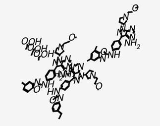 CC(=O)O.CC(=O)O.CC(=O)O.CCc1ccc2oc(Nc3ccc(-c4nn(C5CCN(CCOC)C5)c5ncnc(N)c45)cc3)nc2c1.COCCN1CCC(n2nc(-c3ccc(Nc4nc5cc(C)ccc5o4)cc3)c3c(N)ncnc32)C1.COCCN1CC[C@H](n2nc(-c3ccc(Nc4nc5cc(C)cc(C)c5o4)cc3)c3c(N)ncnc32)C1